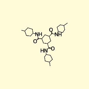 CC1CCC(NC(=O)C2CC(C(=O)NC3CCC(C)CC3)CC(C(=O)NC3CCC(C)CC3)C2)CC1